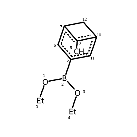 CCOB(OCC)c1cc2c(C)c(c1)C2